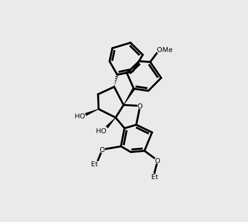 CCOc1cc(OCC)c2c(c1)O[C@@]1(c3ccc(OC)cc3)[C@@H](c3ccccc3)C[C@H](O)[C@@]21O